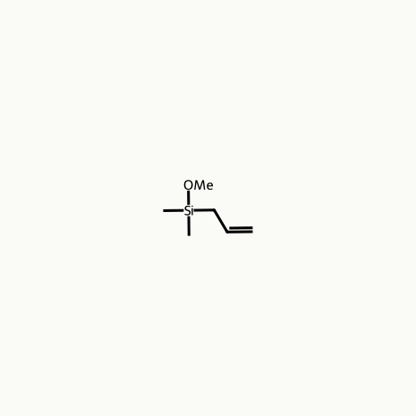 C=CC[Si](C)(C)OC